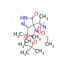 CCO/N=C(/C)C1(N(O)C(=O)OC(C)(C)C)C(=O)NN=C1C(C)(C)C